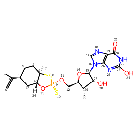 C=C(C)[C@H]1CC[C@@]2(C)S[P@](=S)(OC[C@H]3O[C@@H](n4cnc5c(=O)[nH]c(O)nc54)[C@H](O)[C@@H]3C)O[C@@H]2C1